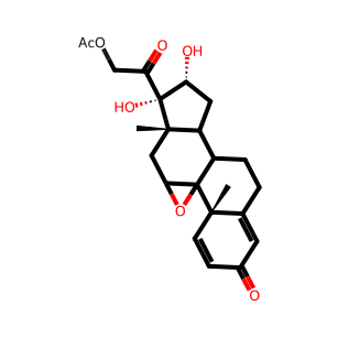 CC(=O)OCC(=O)[C@@]1(O)[C@H](O)CC2C3CCC4=CC(=O)C=C[C@]4(C)C34OC4C[C@@]21C